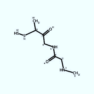 CNCC(=O)NCC(=O)C(C)SS